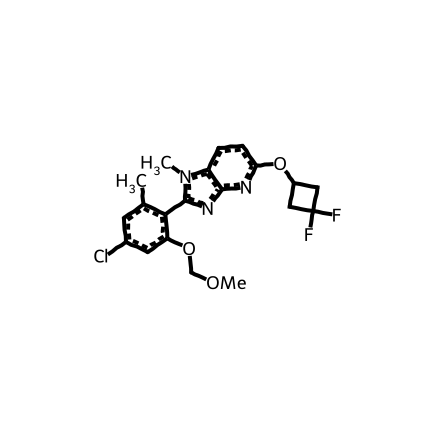 COCOc1cc(Cl)cc(C)c1-c1nc2nc(OC3CC(F)(F)C3)ccc2n1C